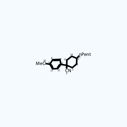 CCCCCC1CCC(C#N)(c2ccc(OC)cc2)CC1